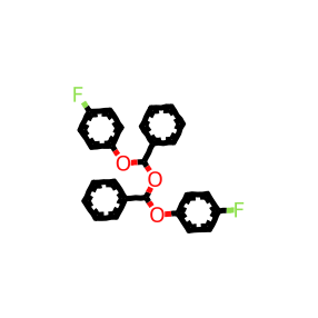 Fc1ccc(OC(OC(Oc2ccc(F)cc2)c2ccccc2)c2ccccc2)cc1